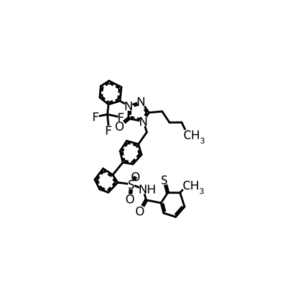 CCCCc1nn(-c2ccccc2C(F)(F)F)c(=O)n1Cc1ccc(-c2ccccc2S(=O)(=O)NC(=O)C2=CC=CC(C)C2=S)cc1